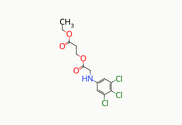 CCOC(=O)CCOC(=O)CNc1cc(Cl)c(Cl)c(Cl)c1